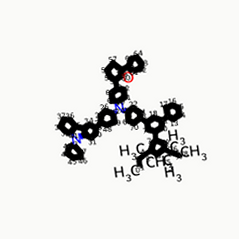 CCCC(C)(C)c1cc(-c2cc(-c3ccccc3)cc(-c3ccc(N(c4ccc(-c5ccc6c(c5)c5ccccc5n6-c5ccccc5)cc4)c4ccc(-c5cccc6c5oc5ccccc56)cc4)cc3)c2)cc(C(C)(C)CC)c1